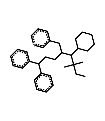 CCC(C)(C)[C](C1CCCCC1)C(CCC(c1ccccc1)c1ccccc1)Cc1cccnc1